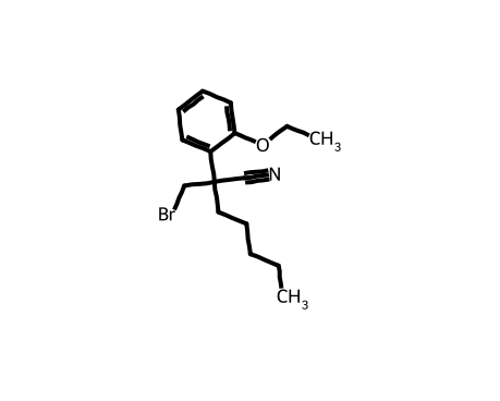 CCCCCC(C#N)(CBr)c1ccccc1OCC